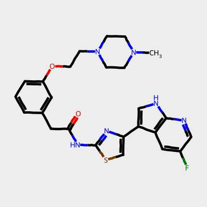 CN1CCN(CCOc2cccc(CC(=O)Nc3nc(-c4c[nH]c5ncc(F)cc45)cs3)c2)CC1